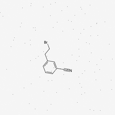 N#Cc1cccc(CCBr)c1